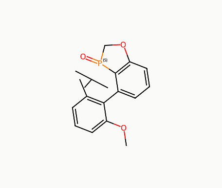 COc1cccc(C)c1-c1cccc2c1[P@@](=O)(C(C)(C)C)CO2